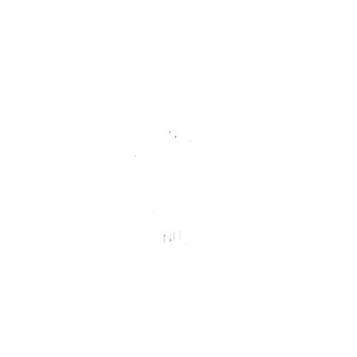 CCC1(C2CCCC2)C=CC(N)C(C2CCCC2)=C1N